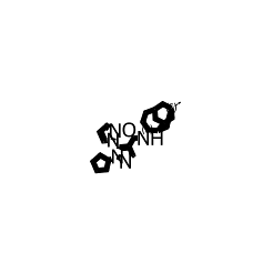 C[C@@]12CC3CC[C@H](NC(=O)c4cnn(C5CCCC5)c4-n4cccn4)C(C1)C(C3)C2